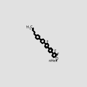 C/C=C/CCC1CCC(C2CCC(c3ccc(-c4ccc(-c5ccc(OCCCCCC)c(F)c5F)cc4)cc3F)CC2)CC1